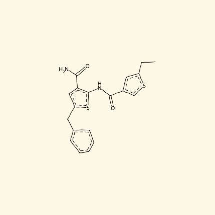 CCc1cc(C(=O)Nc2sc(Cc3ccccc3)cc2C(N)=O)cs1